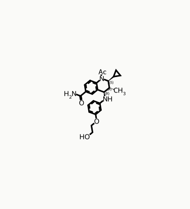 CC(=O)N1c2ccc(C(N)=O)cc2[C@H](Nc2cccc(OCCO)c2)[C@@H](C)[C@@H]1C1CC1